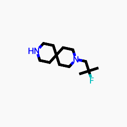 CC(C)(F)CN1CCC2(CCNCC2)CC1